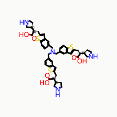 O=C(O)[C@@H](Cc1cc2cc(CN(Cc3ccc4sc(C[C@H](C(=O)O)[C@H]5CCNC5)cc4c3)Cc3ccc4sc(C[C@H](C(=O)O)[C@H]5CCNC5)cc4c3)ccc2s1)[C@H]1CCNC1